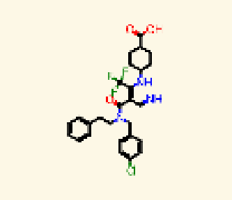 N=C/C(C(=O)N(CCc1ccccc1)Cc1ccc(Cl)cc1)=C(\NC1CCC(C(=O)O)CC1)C(F)(F)F